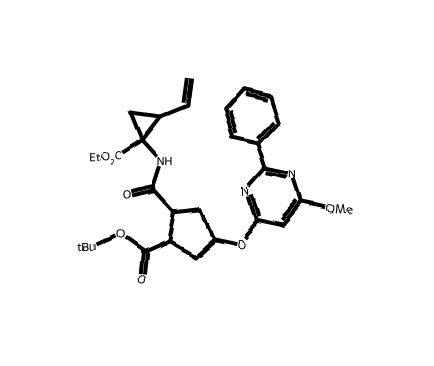 C=CC1CC1(NC(=O)C1CC(Oc2cc(OC)nc(-c3ccccc3)n2)CC1C(=O)OC(C)(C)C)C(=O)OCC